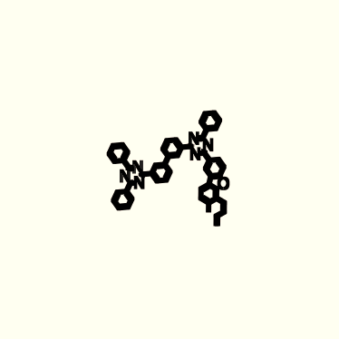 C=C/C=C\c1c(C)ccc2c1oc1ccc(-c3nc(-c4ccccc4)nc(-c4cccc(-c5cccc(-c6nc(-c7ccccc7)nc(-c7ccccc7)n6)c5)c4)n3)cc12